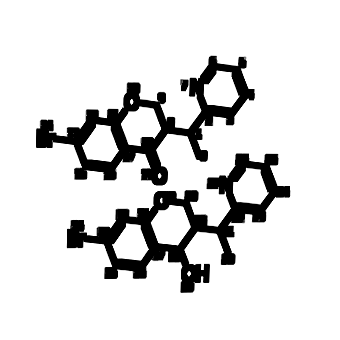 CC(c1ccccn1)C1COc2cc(Br)ccc2C1=O.CC(c1ccccn1)C1COc2cc(Br)ccc2C1O